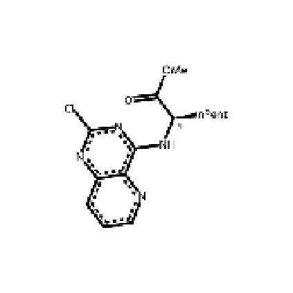 CCCCC[C@@H](Nc1nc(Cl)nc2cccnc12)C(=O)OC